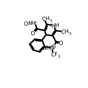 COC(=O)C1=C(C)NC(C)=C(C(=O)OC)C1c1ccccc1OC(F)(F)F